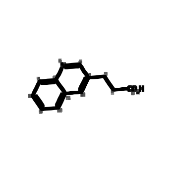 O=C(O)CCc1cnc2ccccc2c1